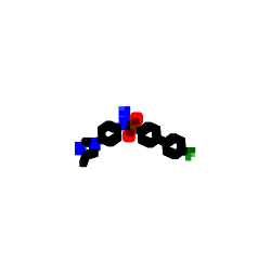 Cc1cn(C2C=CC(NS(=O)(=O)c3ccc(-c4ccc(F)cc4)cc3)=CC2)cn1